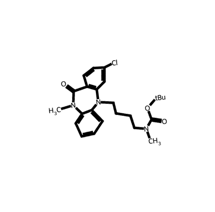 CN(CCCCN1c2cc(Cl)ccc2C(=O)N(C)c2ccccc21)C(=O)OC(C)(C)C